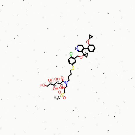 CS(=O)(=O)CCCN(CCCCSc1ccc(Cl)c(COC2(c3cnccc3-c3ccccc3OC3CC3)CC2)c1)C(=O)[C@@H](O)[C@@H](O)[C@H](O)[C@@H](O)CO